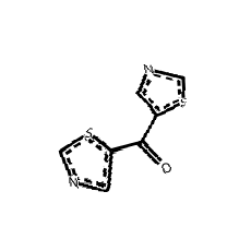 O=C(c1cncs1)c1cncs1